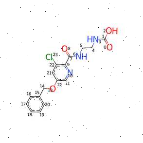 O=C(O)NCCNC(=O)c1ncc(OCc2ccccc2)cc1Cl